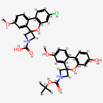 COc1ccc2c(c1)C1(CN(C(=O)O)C1)Oc1cc(Cl)ccc1-2.COc1ccc2c(c1)C1(CN(C(=O)OC(C)(C)C)C1)Oc1cc(O)ccc1-2